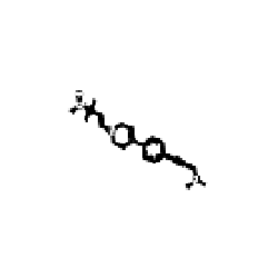 CN(C)CC#Cc1ccc(C2=CCN(CCC(C)(C)[S+](C)[O-])CC2)cc1